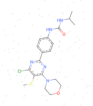 CSc1c(Cl)nc(-c2ccc(NC(=O)NC(C)C)cc2)nc1N1CCOCC1